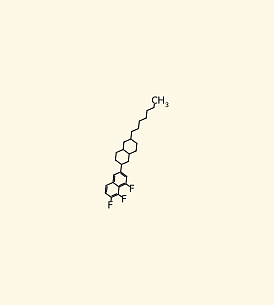 CCCCCCCC1CCC2CC(c3cc(F)c4c(F)c(F)ccc4c3)CCC2C1